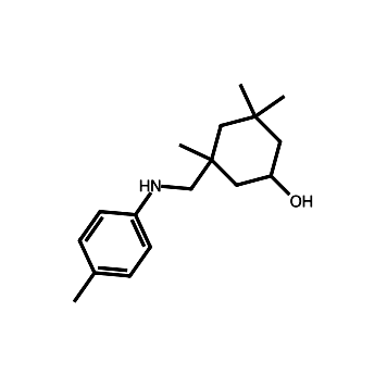 Cc1ccc(NCC2(C)CC(O)CC(C)(C)C2)cc1